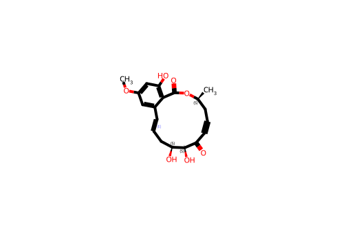 COc1cc(O)c2c(c1)/C=C/C[C@H](O)[C@H](O)C(=O)C#CC[C@H](C)OC2=O